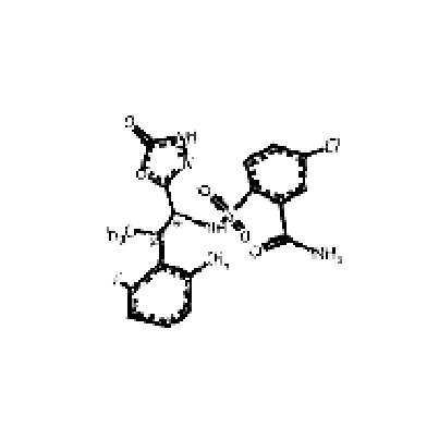 Cc1cccc(F)c1[C@@H](C)[C@H](NS(=O)(=O)c1ccc(Cl)cc1C(N)=O)c1n[nH]c(=O)o1